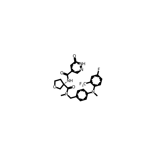 CN(Cc1ccc(N(C)c2ccc(F)cc2C(F)(F)F)cc1)C(=O)[C@]1(NC(=O)c2cn[nH]c(=O)c2)CCOC1